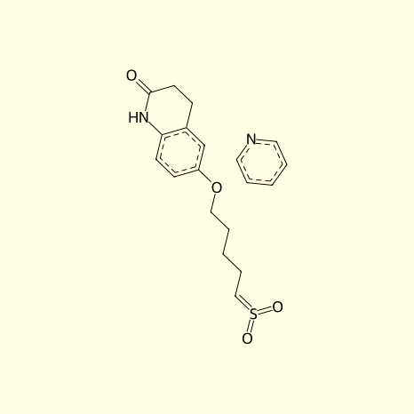 O=C1CCc2cc(OCCCCC=S(=O)=O)ccc2N1.c1ccncc1